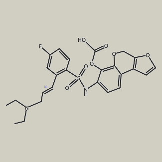 CCN(CC)C/C=C/c1cc(F)ccc1S(=O)(=O)Nc1ccc2c(c1OC(=O)O)OCc1occc1-2